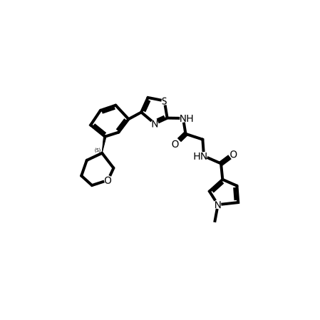 Cn1ccc(C(=O)NCC(=O)Nc2nc(-c3cccc([C@@H]4CCCOC4)c3)cs2)c1